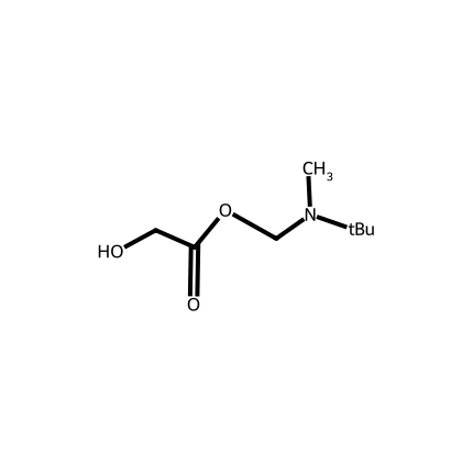 CN(COC(=O)CO)C(C)(C)C